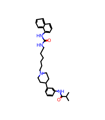 CC(C)C(=O)Nc1cccc(C2CCN(CCCCCCNC(=O)Nc3cccc4ccccc34)CC2)c1